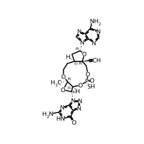 C#C[C@@]12COP(=O)(S)O[C@H]3[C@H](n4nnc5c(=O)[nH]c(N)nc54)O[C@@]3(C)OCC[C@H]1C[C@H](n1cnc3c(N)ncnc31)O2